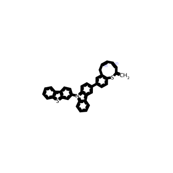 C=C1/C=C\C=C/Cc2cc(-c3ccc4c(c3)c3ccccc3n4-c3ccc4c(c3)sc3ccccc34)ccc2S1